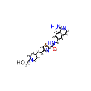 Nc1nccc2cc(CNC(=O)c3nc(CCC4CCN(C(=O)O)CC4)cs3)ccc12